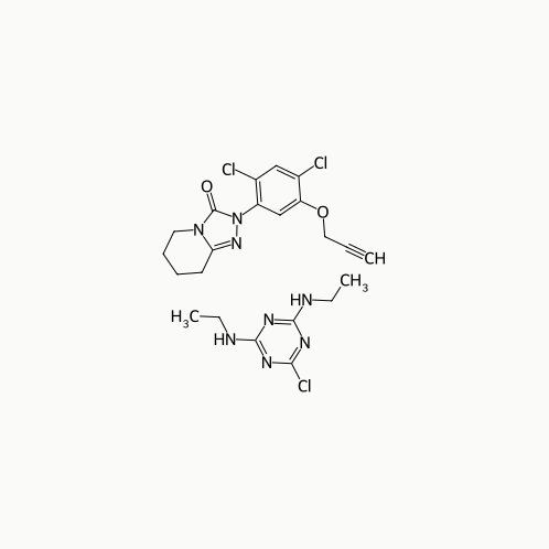 C#CCOc1cc(-n2nc3n(c2=O)CCCC3)c(Cl)cc1Cl.CCNc1nc(Cl)nc(NCC)n1